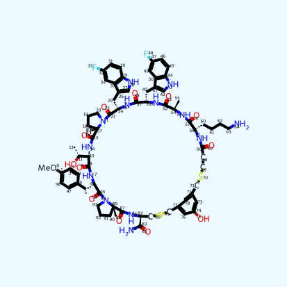 COc1ccc(C[C@@H]2NC(=O)[C@H]([C@@H](C)O)NC(=O)[C@@H]3CCCN3C(=O)[C@H](Cc3c[nH]c4ccc(F)cc34)NC(=O)[C@H](Cc3c[nH]c4ccc(F)cc34)NC(=O)[C@@H](C)NC(=O)[C@H](CCCCN)NC(=O)CCSCc3cc(O)cc(c3)CSC[C@@H](C(N)=O)NC(=O)[C@]3(C)CCCN3C2=O)cc1